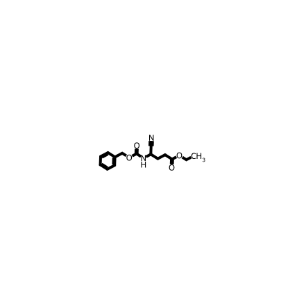 CCOC(=O)CCC(C#N)NC(=O)OCc1ccccc1